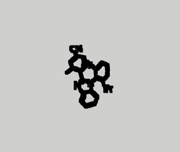 Cc1cc(C#N)ccc1-c1nc2ccccc2n1-c1c(C(C)C)cccc1C(C)C